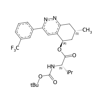 CC(C)[C@H](NC(=O)OC(C)(C)C)C(=O)O[C@@H]1C[C@@H](C)Cc2nnc(-c3cccc(C(F)(F)F)c3)cc21